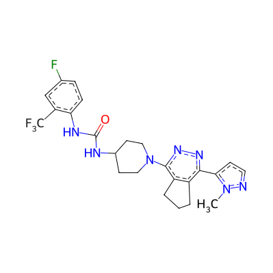 Cn1nccc1-c1nnc(N2CCC(NC(=O)Nc3ccc(F)cc3C(F)(F)F)CC2)c2c1CCC2